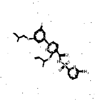 C=CC(C)Oc1nc(-c2cc(F)cc(OCC(C)C)c2)ccc1C(=O)NS(=O)(=O)c1cccc(N)n1